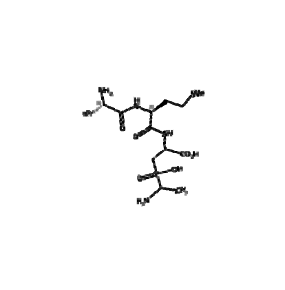 CCC[C@H](N)C(=O)N[C@@H](CCSC)C(=O)NC(CP(=O)(O)C(C)N)C(=O)O